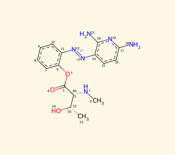 CN[C@@H](C(=O)Oc1ccccc1/N=N/c1ccc(N)nc1N)[C@H](C)O